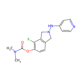 CN(C)C(=O)Oc1ccc2c(c1F)CN(Nc1ccncc1)C2